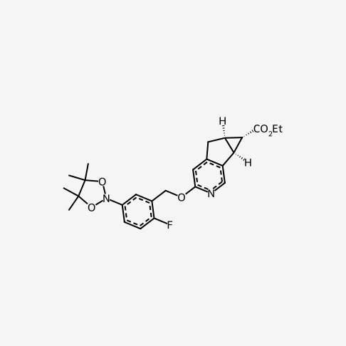 CCOC(=O)[C@H]1[C@@H]2Cc3cc(OCc4cc(N5OC(C)(C)C(C)(C)O5)ccc4F)ncc3[C@@H]21